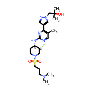 CN(C)CCCS(=O)(=O)N1CC[C@H](Nc2ncc(C(F)(F)F)c(-c3cnn(CC(C)(C)O)c3)n2)[C@H](F)C1